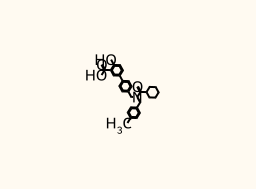 Cc1ccc(CN(Cc2ccc(-c3ccc(O)c(C(=O)O)c3)cc2)C(=O)C2CCCCC2)cc1